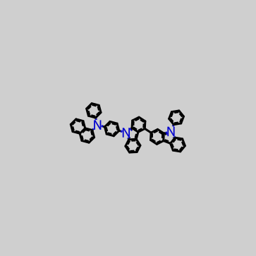 c1ccc(N(c2ccc(-n3c4ccccc4c4c(-c5ccc6c7ccccc7n(-c7ccccc7)c6c5)cccc43)cc2)c2cccc3ccccc23)cc1